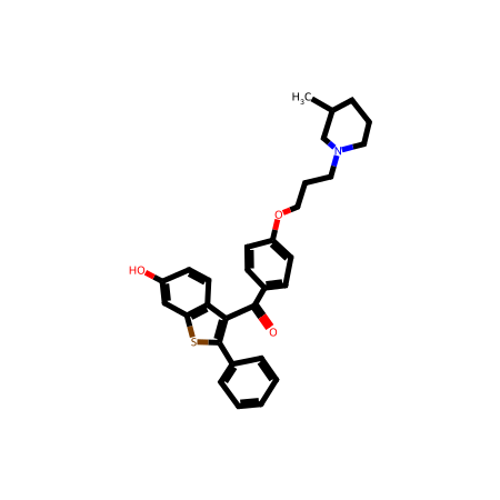 CC1CCCN(CCCOc2ccc(C(=O)c3c(-c4ccccc4)sc4cc(O)ccc34)cc2)C1